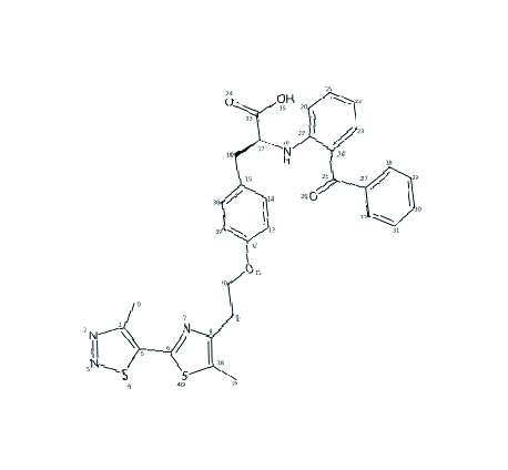 Cc1nnsc1-c1nc(CCOc2ccc(C[C@H](Nc3ccccc3C(=O)c3ccccc3)C(=O)O)cc2)c(C)s1